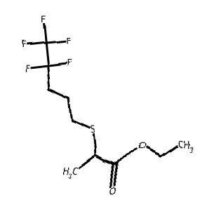 CCOC(=O)C(C)SCCCC(F)(F)C(F)(F)F